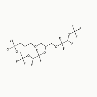 FC(OC(F)(F)F)C(F)(F)OCC(COCCCS(Cl)(Cl)Cl)OC(F)(F)C(F)OC(F)(F)F